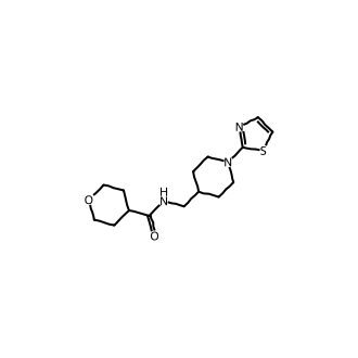 O=C(NCC1CCN(c2nccs2)CC1)C1CCOCC1